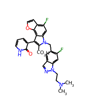 CN(C)CCn1ncc2cc(Cn3c(C(=O)O)c(-c4ccc[nH]c4=O)c4c5occc5c(F)cc43)c(F)cc21